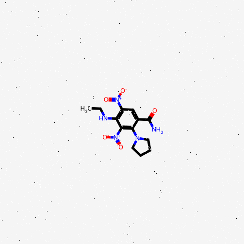 CCNc1c([N+](=O)[O-])cc(C(N)=O)c(N2CCCC2)c1[N+](=O)[O-]